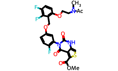 COC(=O)c1scc2[nH]c(=O)n(-c3cc(OCc4c(OCCN(C)C(C)=O)ccc(F)c4F)ccc3F)c(=O)c12